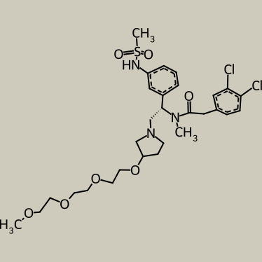 COCCOCCOCCOC1CCN(C[C@H](c2cccc(NS(C)(=O)=O)c2)N(C)C(=O)Cc2ccc(Cl)c(Cl)c2)C1